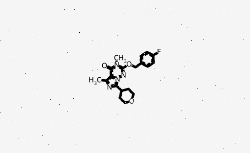 Cc1nc(C2CCOCC2)n2nc(OCc3ccc(F)cc3)n(C)c(=O)c12